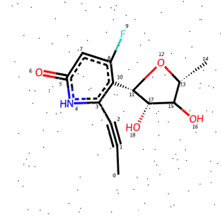 CC#Cc1[nH]c(=O)cc(F)c1[C@@H]1O[C@H](C)C(O)[C@@H]1O